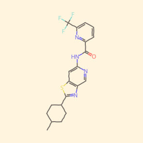 CC1CCC(c2nc3cnc(NC(=O)c4cccc(C(F)(F)F)n4)cc3s2)CC1